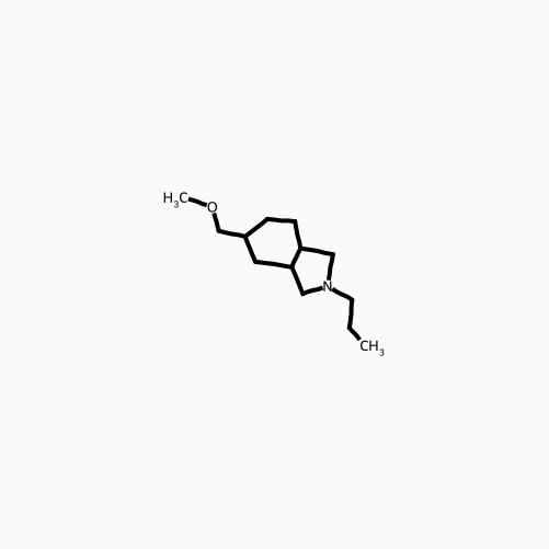 CCCN1CC2CCC(COC)CC2C1